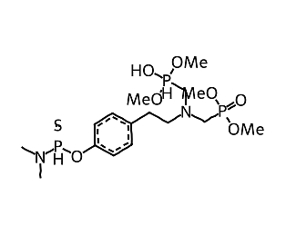 COP(=O)(CN(CCc1ccc(O[PH](=S)N(C)C)cc1)C[PH](O)(OC)OC)OC